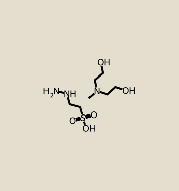 CN(CCO)CCO.NNCCS(=O)(=O)O